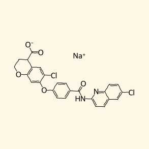 O=C(Nc1ccc2cc(Cl)ccc2n1)c1ccc(Oc2cc3c(cc2Cl)C(C(=O)[O-])CCO3)cc1.[Na+]